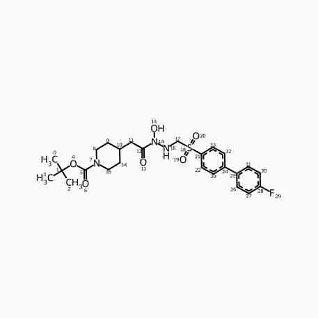 CC(C)(C)OC(=O)N1CCC(CC(=O)N(O)NCS(=O)(=O)c2ccc(-c3ccc(F)cc3)cc2)CC1